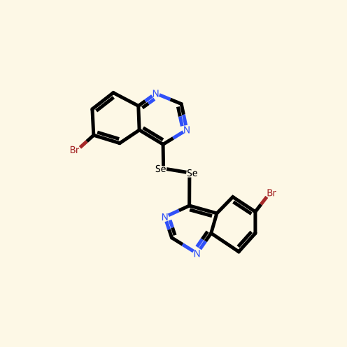 Brc1ccc2ncnc([Se][Se]c3ncnc4ccc(Br)cc34)c2c1